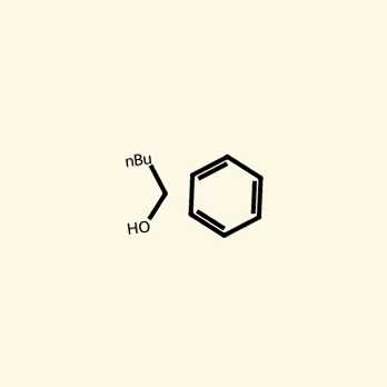 CCCCCO.c1ccccc1